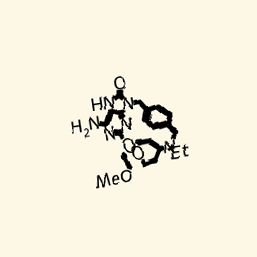 CCN(Cc1ccc(Cn2c(=O)[nH]c3c(N)nc(OCCOC)nc32)cc1)C1CCOCC1